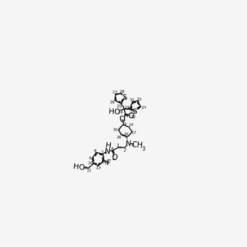 CN(CCC(=O)Nc1ccc(CO)cc1F)[C@H]1CC[C@H](OC(=O)C(O)(c2cccs2)c2cccs2)CC1